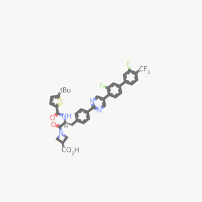 CC(C)(C)c1ccc(C(=O)N[C@@H](Cc2ccc(-c3ncc(-c4ccc(-c5ccc(C(F)(F)F)c(F)c5)cc4F)cn3)cc2)C(=O)N2CC(C(=O)O)C2)s1